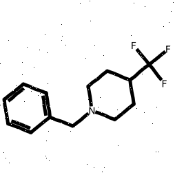 FC(F)(F)C1CCN(Cc2ccccc2)CC1